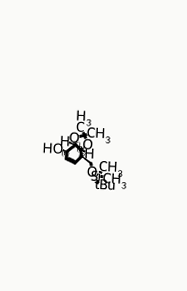 CC1(C)O[C@@H]2[C@H](O1)[C@@H](CO[Si](C)(C)C(C)(C)C)C=C[C@H]2O